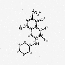 CCn1cc(C(=O)O)c(=O)c2c(F)c(F)c(NC3CCCCC3)cc21